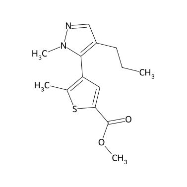 CCCc1cnn(C)c1-c1cc(C(=O)OC)sc1C